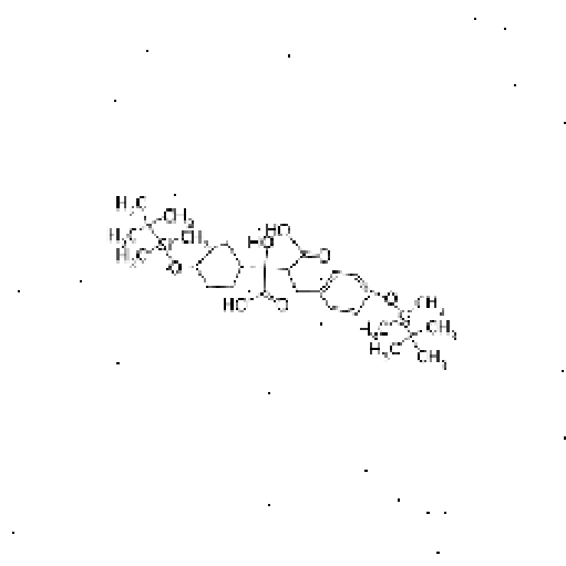 CC(C)(C)[Si](C)(C)Oc1ccc(CC(C(=O)O)C(O)(C(=O)O)[C@H]2CC[C@@H](O[Si](C)(C)C(C)(C)C)CC2)cc1